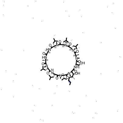 C/C=C/C[C@@H](C)[C@@H](O)[C@H]1C(=O)N[C@@H]([C@@H](C)O)C(=O)N(C)[C@H](C)C(=O)N(C)[C@@H](CC(C)C)C(=O)N[C@@H](CC(C)C)C(=O)N(C)[C@@H](CC(C)C)C(=O)N[C@@H](C)C(=O)N[C@H](C)C(=O)N(C)[C@@H](CC(C)C)C(=O)N[C@@H](CC(C)C)C(=O)N(C)[C@@H](C(C)C)C(=O)N1C